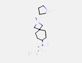 NS(=O)(=O)NC1CCC2(CC1)CN(C[C@@H]1CCNC1)C2